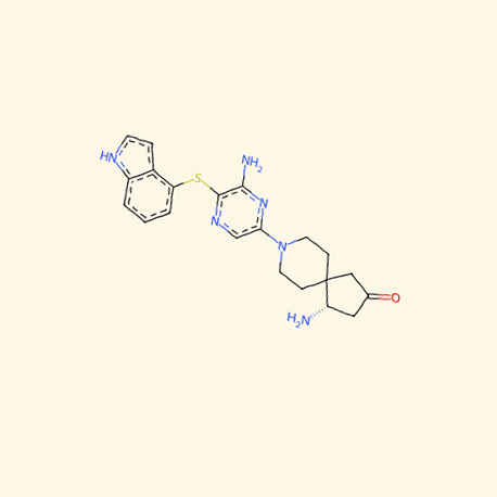 Nc1nc(N2CCC3(CC2)CC(=O)C[C@@H]3N)cnc1Sc1cccc2[nH]ccc12